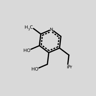 Cc1ncc(CC(C)C)c(CO)c1O